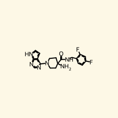 NC1(C(=O)NCc2ccc(F)cc2F)CCN(c2ncnc3[nH]ccc23)CC1